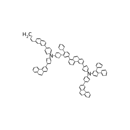 C=C/C=C\c1ccc2ccc(-c3ccc(N(C4=CCC(c5cc(-c6cccc7c6ccc6ccc(-c8ccc(N(c9ccc(-c%10ccc%11ccc%12ccccc%12c%11c%10)cc9)c9ccc(-c%10ccccc%10)c(-c%10ccccc%10)c9)cc8)cc67)ccc5C5C=CC=CC5)C=C4)c4ccc(-c5ccc6ccc7ccccc7c6c5)cc4)cc3)cc2c1